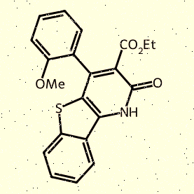 CCOC(=O)c1c(-c2ccccc2OC)c2sc3ccccc3c2[nH]c1=O